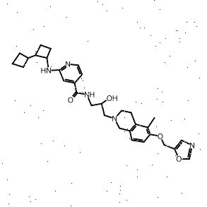 Cc1c(OCc2cnco2)ccc2c1CCN(CC(O)CNC(=O)c1ccnc(NC3CCC3C3CCC3)c1)C2